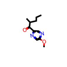 CCCC(C)C(=O)c1cnc(OC)cn1